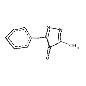 CC1=NN=C(c2ccccc2)C1=O